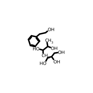 CC(O)C(C)O.OCC(O)CO.OCCc1ccccc1